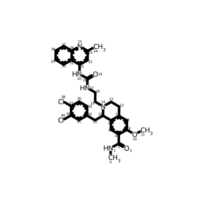 CNC(=O)c1cc2c(cc1OC)CCN(CCNC(=O)Nc1cc(C)nc3ccccc13)C2Cc1ccc(Cl)c(Cl)c1